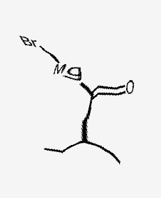 CC(C)[C](=O)[Mg][Br]